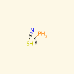 C=CP.N#CS